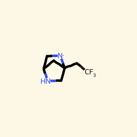 FC(F)(F)CC12CNC(C[N]1)C2